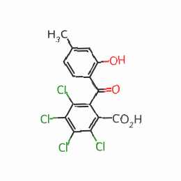 Cc1ccc(C(=O)c2c(Cl)c(Cl)c(Cl)c(Cl)c2C(=O)O)c(O)c1